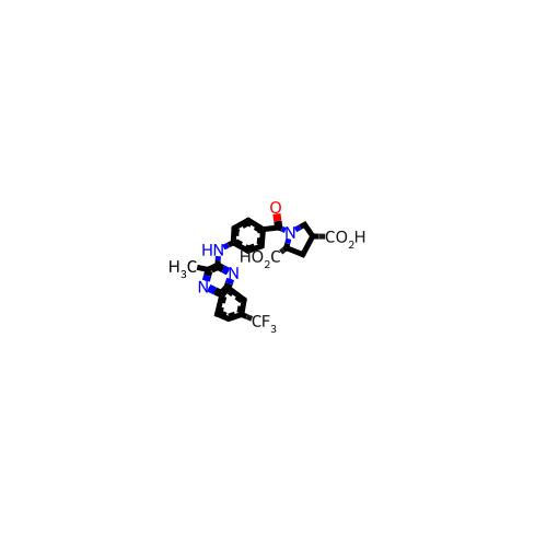 Cc1nc2ccc(C(F)(F)F)cc2nc1Nc1ccc(C(=O)N2CC(C(=O)O)CC2C(=O)O)cc1